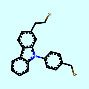 SCCc1ccc2c3ccccc3n(-c3ccc(CS)cc3)c2c1